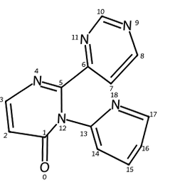 O=c1ccnc(-c2ccncn2)n1-c1ccccn1